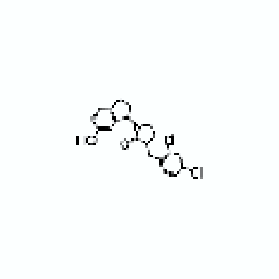 O=C1C(Cc2ccc(Cl)cc2Cl)CCN1C1CCc2ccc(O)cc21